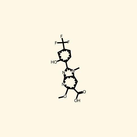 COc1nc2nc(-c3ccc(C(F)(F)F)cc3O)n(C)c2cc1C(=O)O